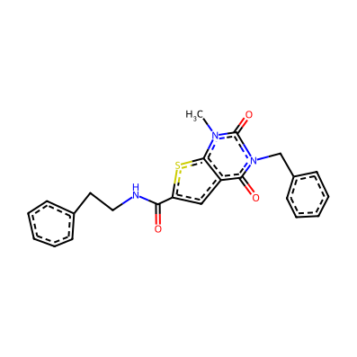 Cn1c(=O)n(Cc2ccccc2)c(=O)c2cc(C(=O)NCCc3ccccc3)sc21